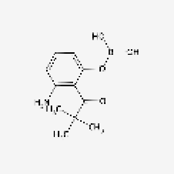 CC(C)(C)C(=O)c1c(N)cccc1OB(O)O